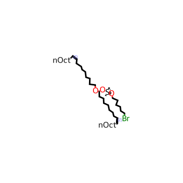 CCCCCCCC/C=C\CCCCCCCCOC(CCCCCCC/C=C\CCCCCCCC)O[Si](C)(C)OCCCCCCBr